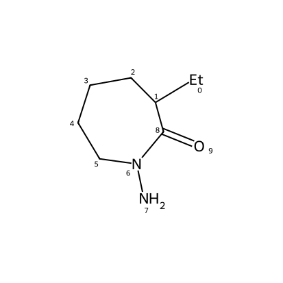 CCC1CCCCN(N)C1=O